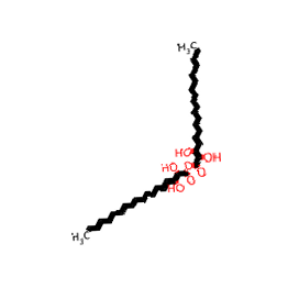 CCCCCCCCCCCCCCCCC(O)C(O)C(=O)OC(=O)C(O)C(O)CCCCCCCCCCCCCCCC